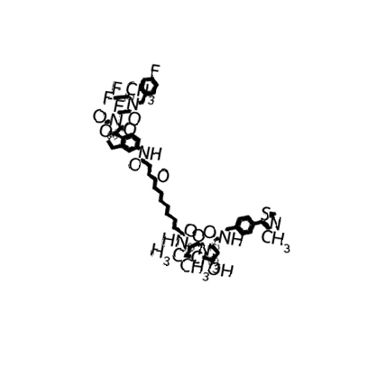 Cc1ncsc1-c1ccc(CNC(=O)[C@@H]2C[C@@H](O)CN2C(=O)[C@@H](NC(=O)CCCCCCCC(=O)CCC(=O)Nc2ccc3c(c2)CC[C@@]32OC(=O)N(CC(=O)N(Cc3ccc(F)cc3)[C@@H](C)C(F)(F)F)C2=O)C(C)(C)C)cc1